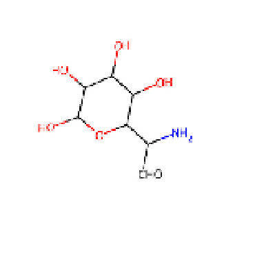 NC(C=O)C1OC(O)C(O)C(O)C1O